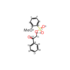 COc1ccccc1S(=O)(=O)OCC(=O)c1ccccc1